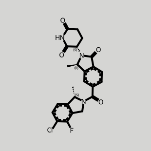 C[C@@H]1c2cc(C(=O)N3Cc4c(ccc(Cl)c4F)[C@@H]3C)ccc2C(=O)N1[C@H]1CCC(=O)NC1=O